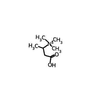 CC(CC(=O)O)[N+](C)(C)C